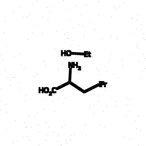 CC(C)CC(N)C(=O)O.CCO